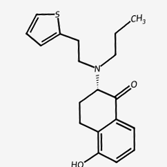 CCCN(CCc1cccs1)[C@H]1CCc2c(O)cccc2C1=O